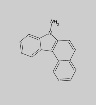 Nn1c2ccccc2c2c3ccccc3ccc21